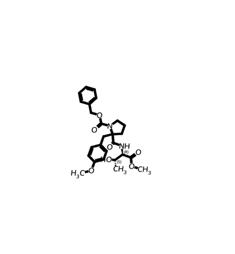 COC(=O)[C@H](NC(=O)C1(Cc2ccc(OC)cc2)CCCN1C(=O)OCc1ccccc1)[C@H](C)O